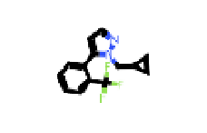 FC(F)(F)c1ccccc1-c1ccnn1CC1CC1